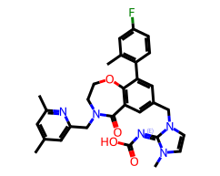 Cc1cc(C)nc(CN2CCOc3c(cc(Cn4ccn(C)/c4=N\C(=O)O)cc3-c3ccc(F)cc3C)C2=O)c1